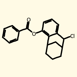 O=C(Oc1cccc2c1C1CCCC(C1)C2Cl)c1ccccc1